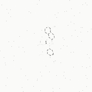 CCOc1cc(C(Nc2ccc3c(N)nccc3c2)C(=O)NB(O)O)ccc1OC(C)C